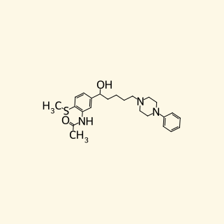 CSc1ccc(C(O)CCCCN2CCN(c3ccccc3)CC2)cc1NC(C)=O